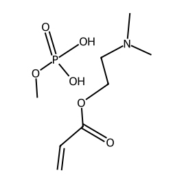 C=CC(=O)OCCN(C)C.COP(=O)(O)O